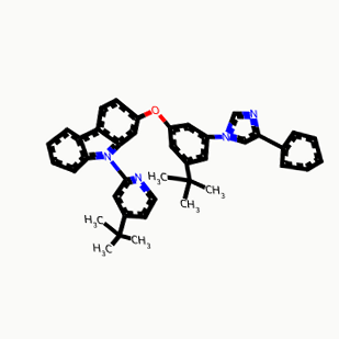 CC(C)(C)c1cc(Oc2ccc3c4ccccc4n(-c4cc(C(C)(C)C)ccn4)c3c2)cc(-n2cnc(-c3ccccc3)c2)c1